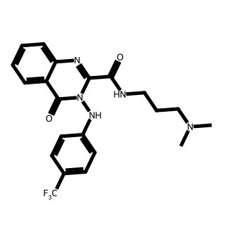 CN(C)CCCNC(=O)c1nc2ccccc2c(=O)n1Nc1ccc(C(F)(F)F)cc1